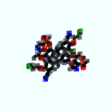 Cc1cc(C(C)(CCC(C)(c2ccc(OC(C)c3ncc(S(C)(=O)=O)o3)cc2)c2cc(Cl)c(OCCCl)c(C#N)c2)c2ccc(OC(C)c3ocnc3S(C)(=O)=O)cc2)cc(C#N)c1OCCCl